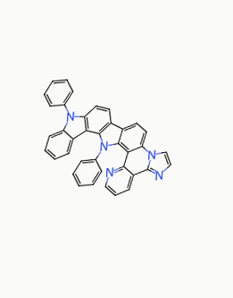 c1ccc(-n2c3ccccc3c3c2ccc2c4ccc5c(c6ncccc6c6nccn56)c4n(-c4ccccc4)c23)cc1